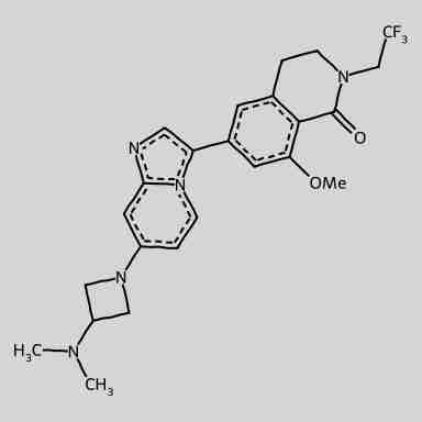 COc1cc(-c2cnc3cc(N4CC(N(C)C)C4)ccn23)cc2c1C(=O)N(CC(F)(F)F)CC2